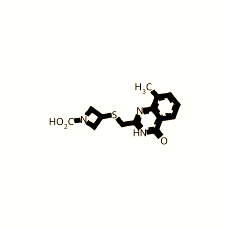 Cc1cccc2c(=O)[nH]c(CSC3CN(C(=O)O)C3)nc12